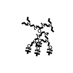 CCCN(CCC)CCN(C)CC(CN(C)CCN(CCC)CCC)OC(CN(C)CCN(CCO[Si](C)(C)C(C)(C)C)CCO[Si](C)(C)C(C)(C)C)CN(C)CCN(CCO[Si](C)(C)C(C)(C)C)CCO[Si](C)(C)C(C)(C)C